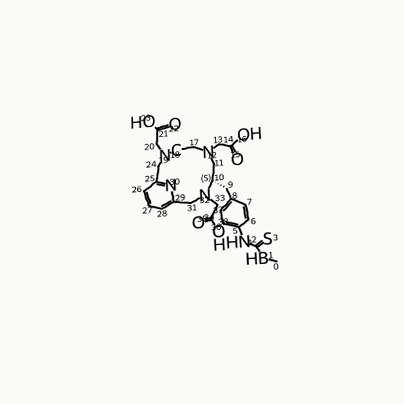 CBC(=S)Nc1ccc(C[C@H]2CN(CC(=O)O)CCN(CC(=O)O)Cc3cccc(n3)CN2CC(=O)O)cc1